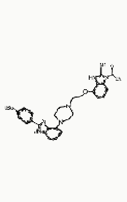 CCC(=O)n1c(=N)[nH]c2c(OCCN3CCN(c4cccc5[nH]c(-c6ccc(C(C)(C)C)cc6)nc45)CC3)cccc21